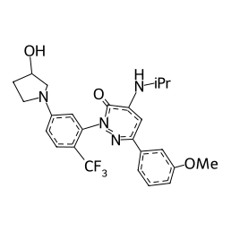 COc1cccc(-c2cc(NC(C)C)c(=O)n(-c3cc(N4CCC(O)C4)ccc3C(F)(F)F)n2)c1